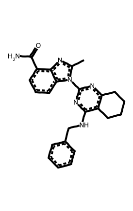 Cc1nc2c(C(N)=O)cccc2n1-c1nc2c(c(NCc3ccccc3)n1)CCCC2